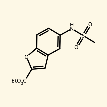 CCOC(=O)c1cc2cc(NS(C)(=O)=O)ccc2o1